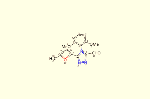 COc1cccc(OC)c1-n1c(C=O)nnc1-c1ccc(C)o1